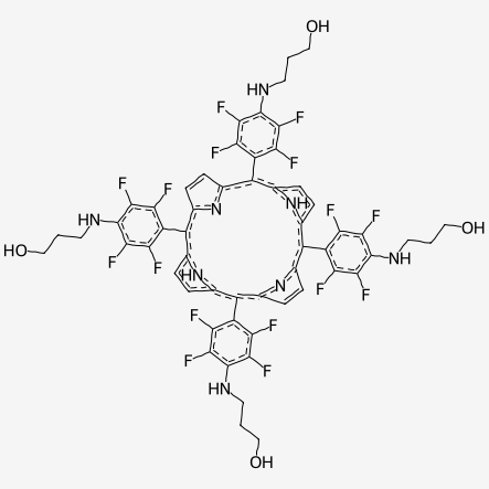 OCCCNc1c(F)c(F)c(-c2c3nc(c(-c4c(F)c(F)c(NCCCO)c(F)c4F)c4ccc([nH]4)c(-c4c(F)c(F)c(NCCCO)c(F)c4F)c4nc(c(-c5c(F)c(F)c(NCCCO)c(F)c5F)c5ccc2[nH]5)C=C4)C=C3)c(F)c1F